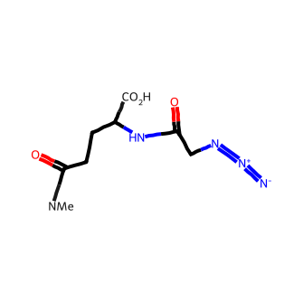 CNC(=O)CCC(NC(=O)CN=[N+]=[N-])C(=O)O